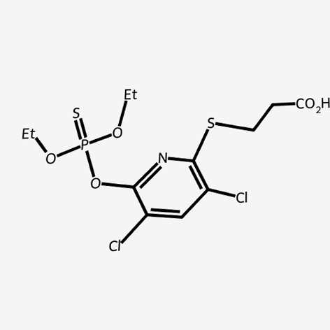 CCOP(=S)(OCC)Oc1nc(SCCC(=O)O)c(Cl)cc1Cl